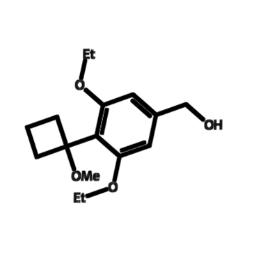 CCOc1cc(CO)cc(OCC)c1C1(OC)CCC1